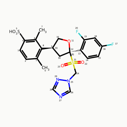 Cc1ccc(S(=O)(=O)O)c(C)c1[C@H]1CO[C@@](c2ccc(F)cc2F)(S(=O)(=O)Cn2cncn2)C1